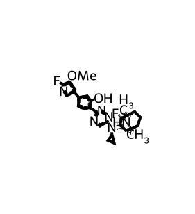 COc1cc(-c2ccc(-c3ncc(N(C4CC4)[C@H]4C[C@]5(C)CCC[C@@](C)(N5)[C@H]4F)nn3)c(O)c2)cnc1F